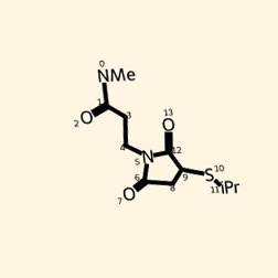 CNC(=O)CCN1C(=O)CC(SC(C)C)C1=O